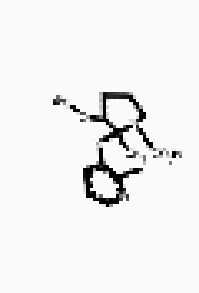 CC(C)(C)OC1CCCN(C(=O)O)C1(C)Oc1cccnc1I